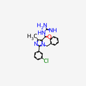 Cc1nc(-c2cccc(Cl)c2)n(Cc2ccccc2)c1C(=O)NC(=N)N